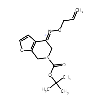 C=CCO/N=C1\CN(C(=O)OC(C)(C)C)Cc2occc21